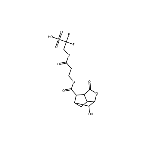 O=C(CCOC(=O)C1C2CC3C(OC(=O)C31)C2O)OCC(F)(F)S(=O)(=O)O